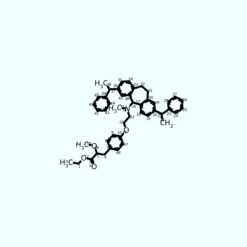 CCOC(=O)C(Cc1ccc(OCCN(C)C2c3ccc(C(C)c4ccccc4)cc3CCc3ccc(C(C)c4ccccc4)cc32)cc1)OC